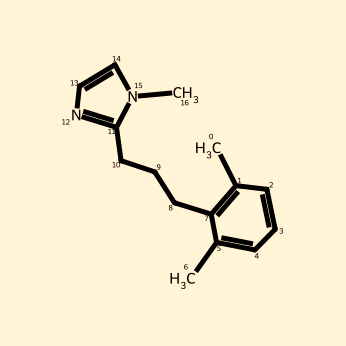 Cc1cccc(C)c1CCCc1nccn1C